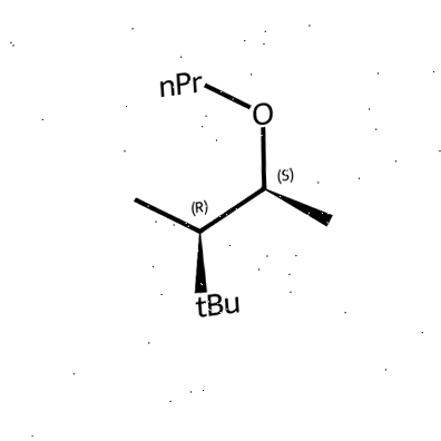 CCCO[C@@H](C)[C@H](C)C(C)(C)C